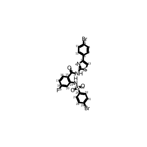 O=C(Nc1nc(-c2ccc(Br)cc2)cs1)c1ccc(F)cc1NS(=O)(=O)c1ccc(Br)cc1